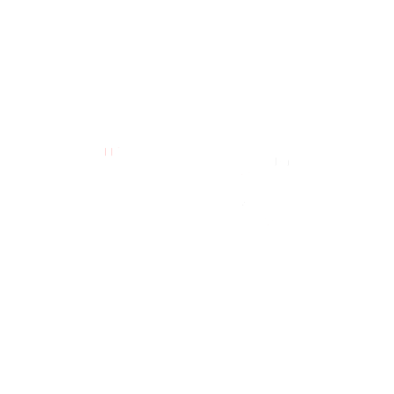 CC(C(=O)OC(C)(C)C)c1ccc(O)cc1